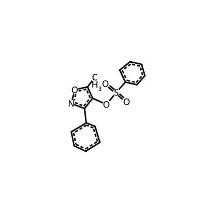 Cc1onc(-c2ccccc2)c1OS(=O)(=O)c1ccccc1